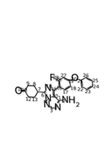 Nc1ncnn2c(C3CCC(=O)CC3)nc(-c3ccc(Oc4ccccc4)cc3F)c12